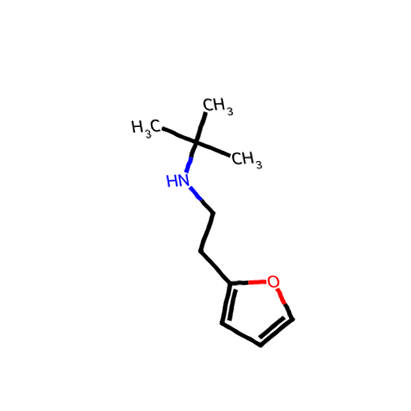 CC(C)(C)NCCc1ccco1